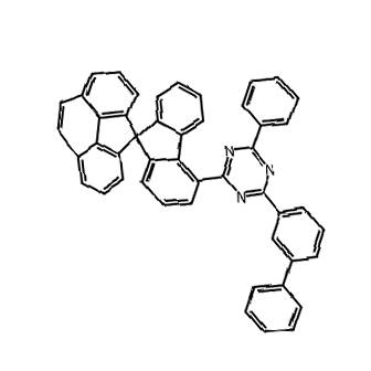 c1ccc(-c2cccc(-c3nc(-c4ccccc4)nc(-c4cccc5c4-c4ccccc4C54c5cccc6ccc7cccc4c7c56)n3)c2)cc1